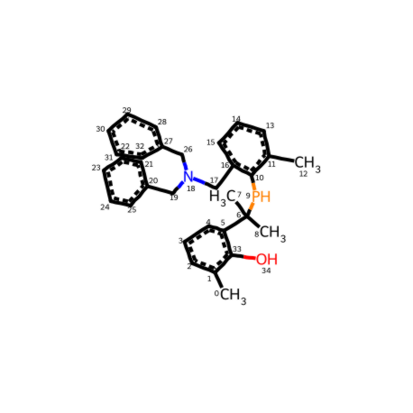 Cc1cccc(C(C)(C)Pc2c(C)cccc2CN(Cc2ccccc2)Cc2ccccc2)c1O